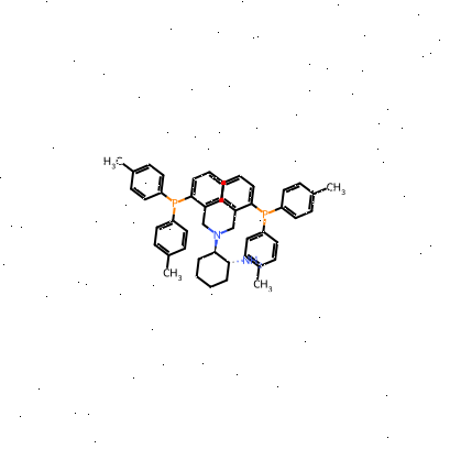 Cc1ccc(P(c2ccc(C)cc2)c2ccccc2CN(Cc2ccccc2P(c2ccc(C)cc2)c2ccc(C)cc2)[C@@H]2CCCC[C@H]2N)cc1